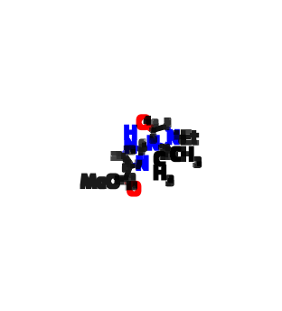 CCN1CC(=O)N(c2nc(C(=O)OC)c[nH]2)C1(C)C